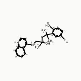 CC(C)(CC(O)(CNc1ccnc2ccccc12)C(F)(F)F)c1cc(F)ccc1O